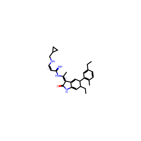 CCc1ccc(C)c(C2C=C3C(=CC2CC)NC(=O)/C3=C(/C)NC(=N)/C=C\NCC2CC2)c1